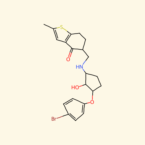 Cc1cc2c(s1)CCC(CNC1CCC(Oc3ccc(Br)cc3)C1O)C2=O